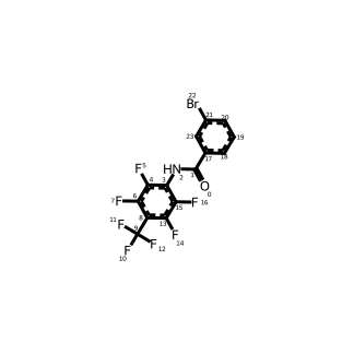 O=C(Nc1c(F)c(F)c(C(F)(F)F)c(F)c1F)c1cccc(Br)c1